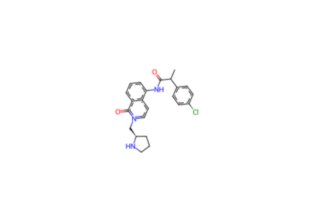 CC(C(=O)Nc1cccc2c(=O)n(C[C@H]3CCCN3)ccc12)c1ccc(Cl)cc1